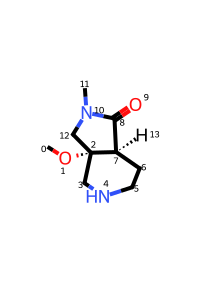 CO[C@@]12CNCC[C@@H]1C(=O)N(C)C2